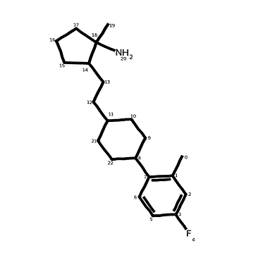 Cc1cc(F)ccc1C1CCC(CCC2CCCC2(C)N)CC1